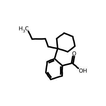 CCCCC1(c2ccccc2C(=O)O)CCCCC1